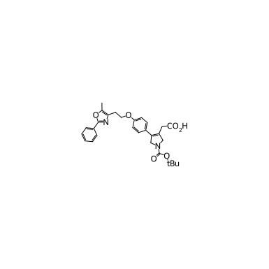 Cc1oc(-c2ccccc2)nc1CCOc1ccc(C2=C(CC(=O)O)CN(C(=O)OC(C)(C)C)C2)cc1